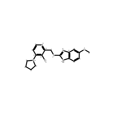 COc1ccc2[nH]c(SCc3nccc(N4CCCC4)c3Cl)nc2c1